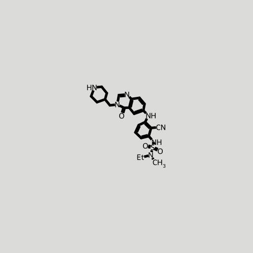 CCN(C)S(=O)(=O)Nc1cccc(Nc2ccc3ncn(CC4CCNCC4)c(=O)c3c2)c1C#N